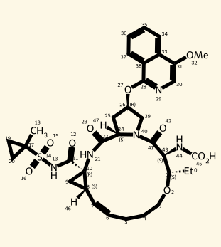 CC[C@@H]1OCCCC=C[C@@H]2C[C@@]2(C(=O)NS(=O)(=O)C2(C)CC2)NC(=O)[C@@H]2C[C@@H](Oc3ncc(OC)c4ccccc34)CN2C(=O)[C@H]1NC(=O)O